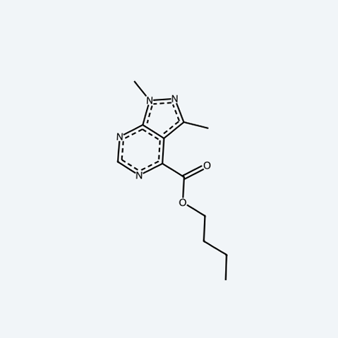 CCCCOC(=O)c1ncnc2c1c(C)nn2C